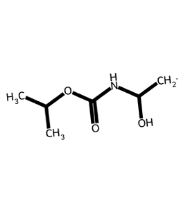 [CH2]C(O)NC(=O)OC(C)C